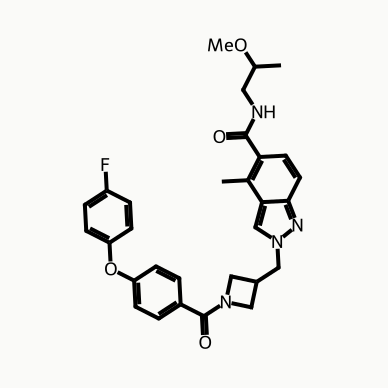 COC(C)CNC(=O)c1ccc2nn(CC3CN(C(=O)c4ccc(Oc5ccc(F)cc5)cc4)C3)cc2c1C